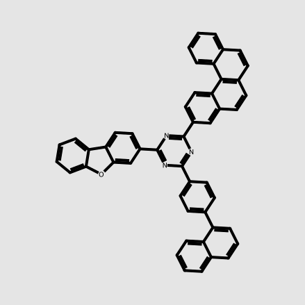 c1ccc2c(-c3ccc(-c4nc(-c5ccc6c(ccc7ccc8ccccc8c76)c5)nc(-c5ccc6c(c5)oc5ccccc56)n4)cc3)cccc2c1